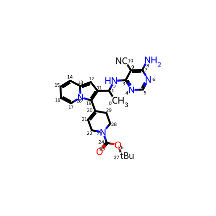 CC(Nc1ncnc(N)c1C#N)c1cc2ccccn2c1C1=CCN(C(=O)OC(C)(C)C)CC1